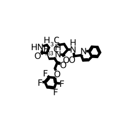 CC(C)CC(NC(=O)c1ccc2ccccc2n1)C(=O)NC(C[C@@H]1CCNC1=O)C(=O)COc1c(F)c(F)cc(F)c1F